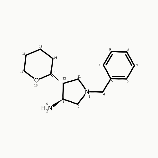 N[C@@H]1CN(Cc2ccccc2)C[C@H]1C1CCCCO1